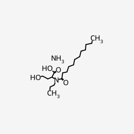 CCCCCCCCCCCC(=O)N(CCC)C(CCO)C(=O)O.N